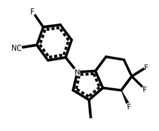 Cc1cn(-c2ccc(F)c(C#N)c2)c2c1[C@H](F)C(F)(F)CC2